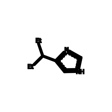 CCC(CC)c1c[nH]cn1